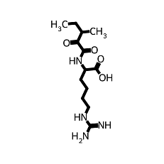 CCC(C)C(=O)C(=O)NC(CCCCNC(=N)N)C(=O)O